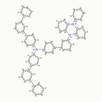 c1ccc(-c2cccc(-c3ccc(N(c4ccc(-c5cccc(-c6ccccc6)c5)cc4)c4ccc(-c5cccc(N6c7ccccc7N(c7ccccc7)c7ccccc76)c5)cc4)cc3)c2)cc1